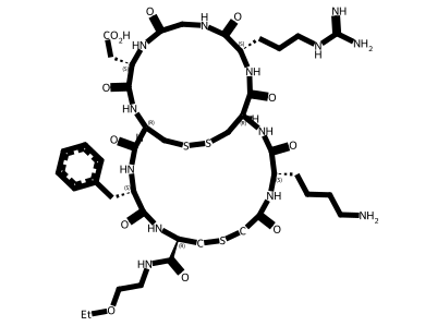 CCOCCNC(=O)[C@@H]1CSCC(=O)N[C@@H](CCCCN)C(=O)N[C@H]2CSSC[C@H](NC(=O)[C@H](CC(=O)O)NC(=O)CNC(=O)[C@H](CCCNC(=N)N)NC2=O)C(=O)N[C@@H](Cc2ccccc2)C(=O)N1